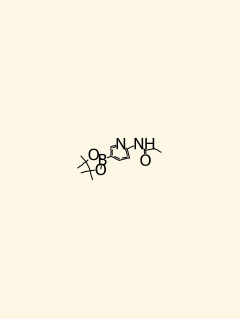 CCC(=O)Nc1ccc(B2OC(C)(C)C(C)(C)O2)cn1